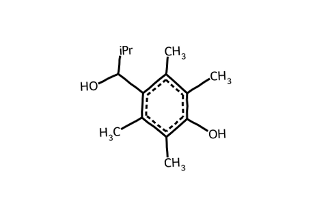 Cc1c(C)c(C(O)C(C)C)c(C)c(C)c1O